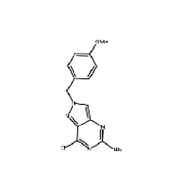 COc1ccc(Cn2cc3nc(C(C)(C)C)nc(Cl)c3n2)cc1